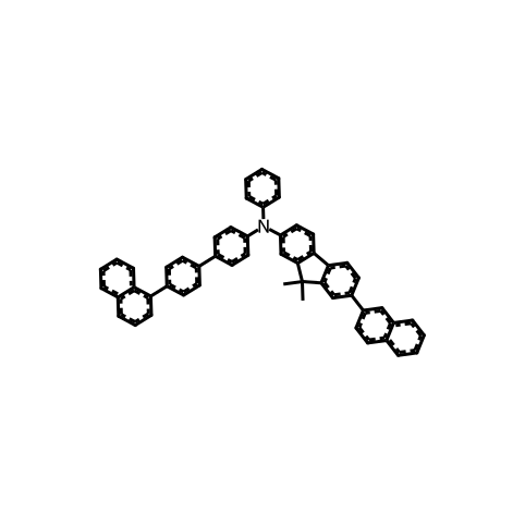 CC1(C)c2cc(-c3ccc4ccccc4c3)ccc2-c2ccc(N(c3ccccc3)c3ccc(-c4ccc(-c5cccc6ccccc56)cc4)cc3)cc21